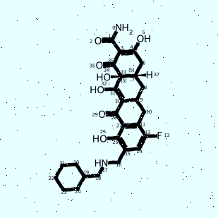 NC(=O)C1=C(O)C[C@@H]2CC3Cc4c(F)cc(CNCC5CCCCC5)c(O)c4C(=O)C3=C(O)[C@]2(O)C1=O